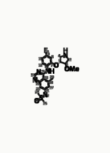 CO[C@@H]1CNC[C@H]1Oc1cc(F)ccc1Nc1ncnc2cc(N=S(C)(C)=O)cc(C)c12